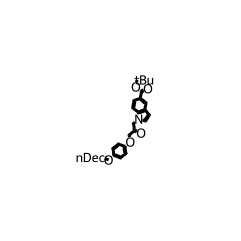 CCCCCCCCCCOc1ccc(OCC(=O)Cn2ccc3cc(C(=O)OC(C)(C)C)ccc32)cc1